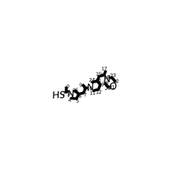 CC(S)N1CCC(CC(C)N2CCCC(CC(C)N3CCOCC3)C2)C1